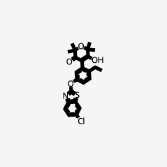 CCc1ccc(Oc2nc3ccc(Cl)cc3s2)cc1C1=C(O)C(C)(C)OC(C)(C)C1=O